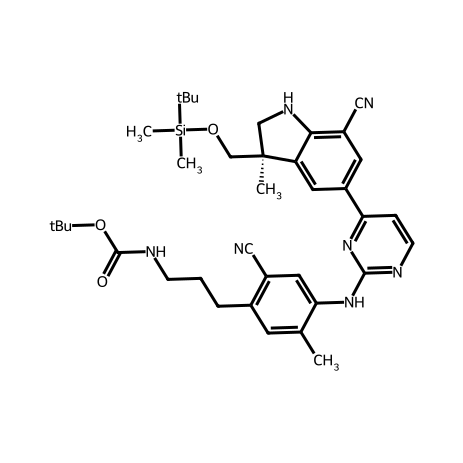 Cc1cc(CCCNC(=O)OC(C)(C)C)c(C#N)cc1Nc1nccc(-c2cc(C#N)c3c(c2)[C@@](C)(CO[Si](C)(C)C(C)(C)C)CN3)n1